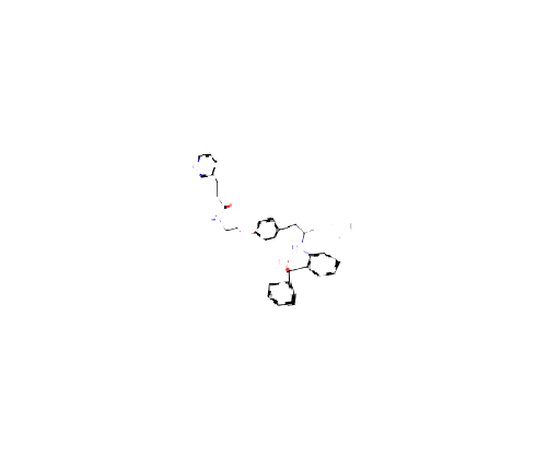 CCN(CCOc1ccc(CC(Nc2ccccc2C(=O)c2ccccc2)C(=O)O)cc1)C(=O)CCc1cccnc1